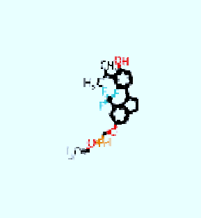 CCOPCOc1cc2c(c(C(F)(F)F)c1)C(c1ccc(O)c(C(C)C)c1)CC2